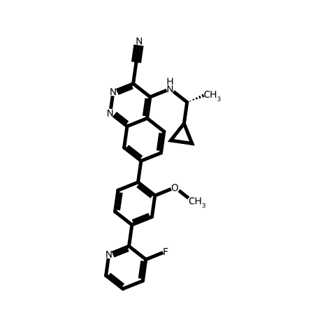 COc1cc(-c2ncccc2F)ccc1-c1ccc2c(N[C@H](C)C3CC3)c(C#N)nnc2c1